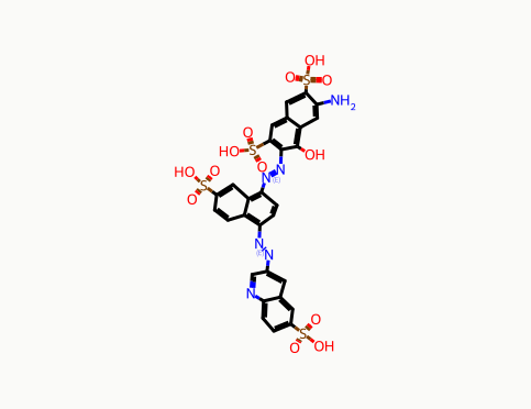 Nc1cc2c(O)c(/N=N/c3ccc(/N=N/c4cnc5ccc(S(=O)(=O)O)cc5c4)c4ccc(S(=O)(=O)O)cc34)c(S(=O)(=O)O)cc2cc1S(=O)(=O)O